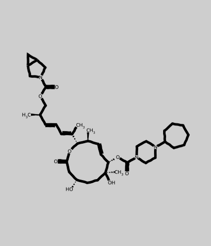 C/C(=C\C=C\[C@@H](C)COC(=O)N1CC2CC2C1)[C@H]1OC(=O)C[C@@H](O)CC[C@](C)(O)[C@@H](OC(=O)N2CCN(C3CCCCCC3)CC2)/C=C/[C@@H]1C